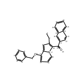 CCc1cc2c(OCc3ccccc3)cccn2c1C(=O)c1ccc2ccccc2c1